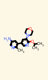 Cc1ncc(N)cc1-c1cnc(OC(C)C)c(N2CCOCC2)c1